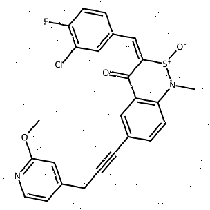 COc1cc(CC#Cc2ccc3c(c2)C(=O)/C(=C\c2ccc(F)c(Cl)c2)[S+]([O-])N3C)ccn1